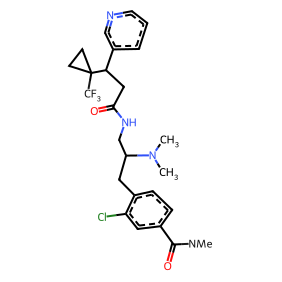 CNC(=O)c1ccc(CC(CNC(=O)CC(c2cccnc2)C2(C(F)(F)F)CC2)N(C)C)c(Cl)c1